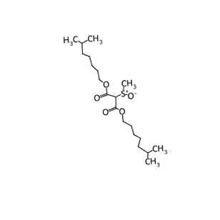 CC(C)CCCCCOC(=O)C(C(=O)OCCCCCC(C)C)[S+](C)[O-]